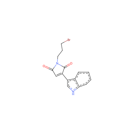 O=C1C=C(c2c[nH]c3ccccc23)C(=O)N1CCCBr